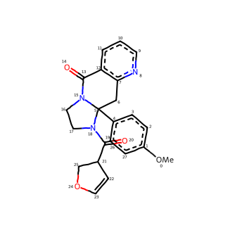 COc1ccc(C23Cc4ncccc4C(=O)N2CCN3C(=O)C2C=COC2)cc1